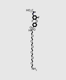 C/C(=C\c1cc(F)c(Oc2ccc(S(=O)(=O)NCCOCCOCCOCCOCCOCCOCCN)cc2)c(F)c1)C(=O)O